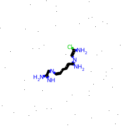 N=C(N)/C=N\C=C/C/C=C/C(N)=N\C=C(/N)Cl